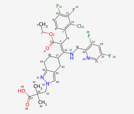 CCOC(=O)/C(Cc1ccc(F)c(F)c1Cl)=C(/NCc1ncc(F)cc1F)C1CCc2nn(CC(C)(C)C(=O)O)cc2C1